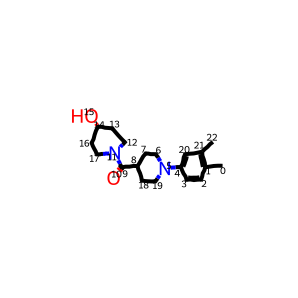 Cc1ccc(N2CCC(C(=O)N3CCC(O)CC3)CC2)cc1C